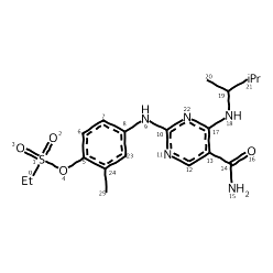 CCS(=O)(=O)Oc1ccc(Nc2ncc(C(N)=O)c(NC(C)C(C)C)n2)cc1C